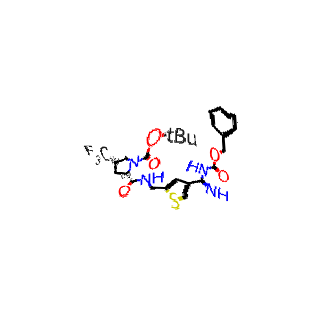 CC(C)(C)OC(=O)N1C[C@@H](C(F)(F)F)C[C@H]1C(=O)NCc1cc(C(=N)NC(=O)OCc2ccccc2)cs1